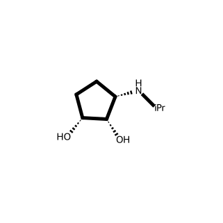 CC(C)N[C@H]1CC[C@@H](O)[C@H]1O